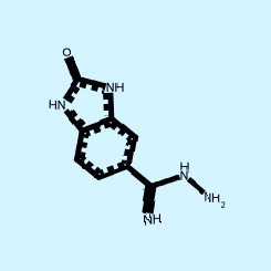 N=C(NN)c1ccc2[nH]c(=O)[nH]c2c1